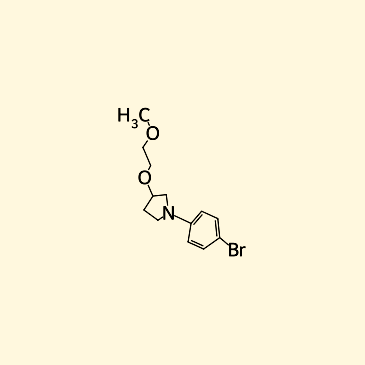 COCCOC1CCN(c2ccc(Br)cc2)C1